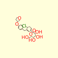 CO[C@@]1(C2=CCC(Cl)C(Cc3ccc(O[C@H]4CCOC4)cc3)=C2)O[C@H](CO)[C@@H](O)[C@H](O)[C@H]1O